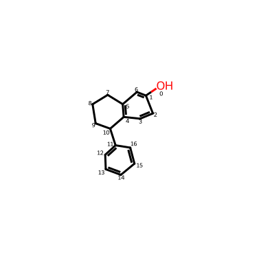 Oc1ccc2c(c1)CCCC2c1ccccc1